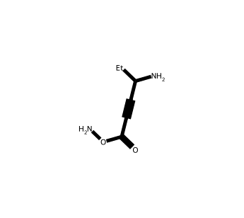 CCC(N)C#CC(=O)ON